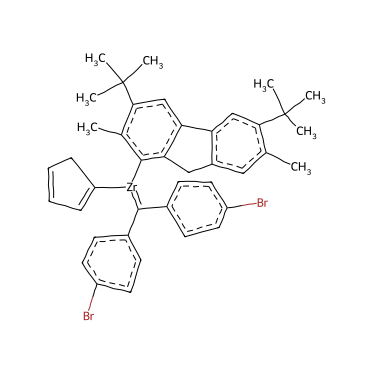 Cc1cc2c(cc1C(C)(C)C)-c1cc(C(C)(C)C)c(C)[c]([Zr]([C]3=CC=CC3)=[C](c3ccc(Br)cc3)c3ccc(Br)cc3)c1C2